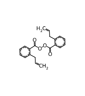 C=CCc1ccccc1C(=O)OOC(=O)c1ccccc1CC=C